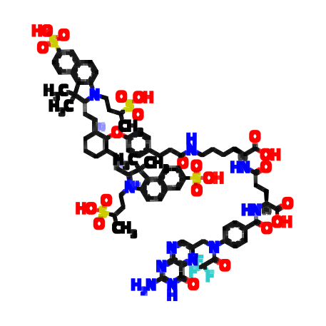 CC(CCN1c2ccc3cc(S(=O)(=O)O)ccc3c2C(C)(C)C1C/C=C1\CCCC(/C=C/C2=[N+](CCC(C)S(=O)(=O)O)c3ccc4cc(S(=O)(=O)O)ccc4c3C2(C)C)=C1Oc1ccc(CCC(=O)NCCCC[C@H](NC(=O)CC[C@H](NC(=O)c2ccc(N(Cc3cnc4nc(N)[nH]c(=O)c4n3)C(=O)C(F)(F)F)cc2)C(=O)O)C(=O)O)cc1)S(=O)(=O)O